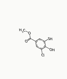 COC(=O)c1cc(S)c(O)c(Cl)c1